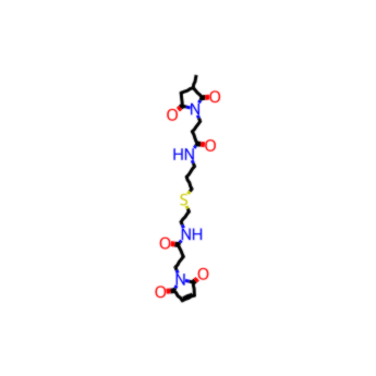 CC1CC(=O)N(CCC(=O)NCCCSCCNC(=O)CCN2C(=O)C=CC2=O)C1=O